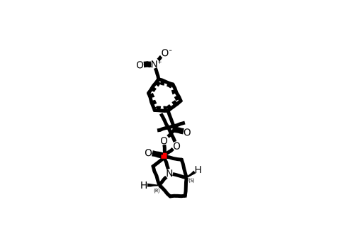 CC(C)(C)OC(=O)N1[C@@H]2CC[C@H]1CC(OC(=O)c1ccc([N+](=O)[O-])cc1)C2